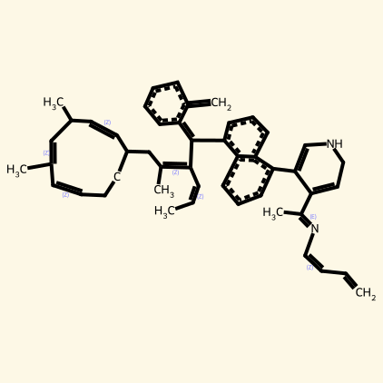 C=C/C=C\N=C(/C)C1=CCNC=C1c1cccc2c(C(C(/C=C\C)=C(/C)CC3/C=C\C(C)/C=C(C)\C=C/CC3)=c3ccccc3=C)cccc12